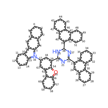 c1ccc2cc3c(cc2c1)c1ccccc1n3-c1cc(C2=NC(c3cc4ccccc4c4ccccc34)=NC(c3cc4ccccc4c4ccccc34)N2)c2oc3ccccc3c2c1